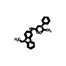 CCn1c2ccccc2c2cc(NC(=O)CN(c3ccccc3)C(C)Cl)ccc21